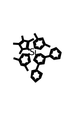 CC1=C(C)C(C)C([Si](c2cc(C)cc(C)c2)(c2cc(C)cc(C)c2)c2cc(-c3ccccc3)cc(-c3ccccc3)c2)=C1C